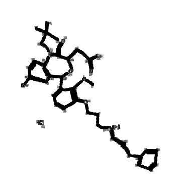 COc1c(OCCCNCCCc2ccccc2)cccc1C1OC(CC(=O)O)C(=O)N(CC(C)(C)C)c2ccc(Cl)cc21.Cl